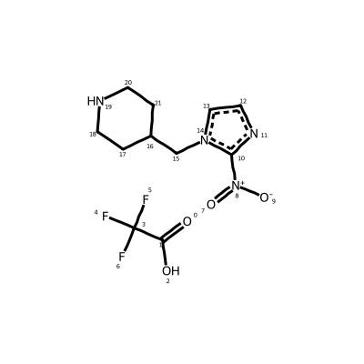 O=C(O)C(F)(F)F.O=[N+]([O-])c1nccn1CC1CCNCC1